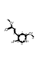 COC(=O)C=Cc1cc(OC)ncc1F